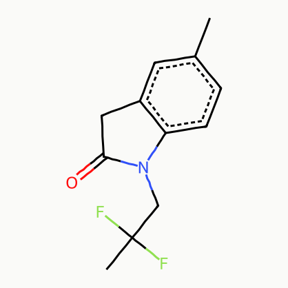 Cc1ccc2c(c1)CC(=O)N2CC(C)(F)F